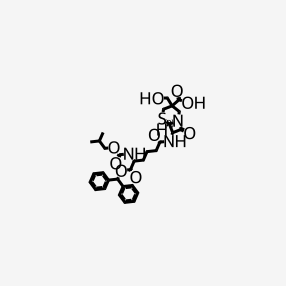 CC(C)COC(=O)NC(CCCC(=O)NC1C(=O)N2CC(CO)(C(=O)O)CS[C@H]12)C(=O)OC(c1ccccc1)c1ccccc1